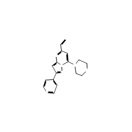 C=Cc1cc(N2CCOCC2)n2nc(-c3ccncc3)cc2n1